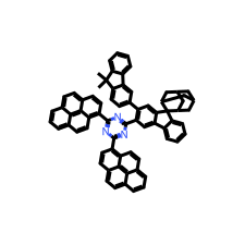 CC1(C)c2ccccc2-c2cc(-c3cc4c(cc3-c3nc(-c5ccc6ccc7cccc8ccc5c6c78)nc(-c5ccc6ccc7cccc8ccc5c6c78)n3)-c3ccccc3C43C4CC5CC(C4)CC3C5)ccc21